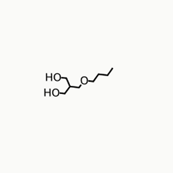 CCCCOCC(CO)CO